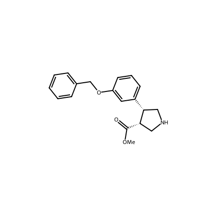 COC(=O)[C@H]1CNC[C@H]1c1cccc(OCc2ccccc2)c1